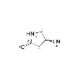 N#C[C@@H]1CNC(=O)C1